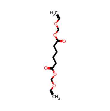 C=COCOC(=O)CCCCC(=O)OCOC=C